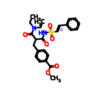 CCN(CC)C(=O)C(Cc1ccc(C(=O)OC)cc1)C(=O)NS(=O)(=O)/C=C/c1ccccc1